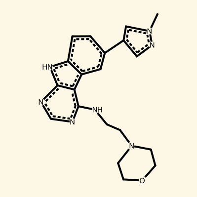 Cn1cc(-c2ccc3[nH]c4ncnc(NCCN5CCOCC5)c4c3c2)cn1